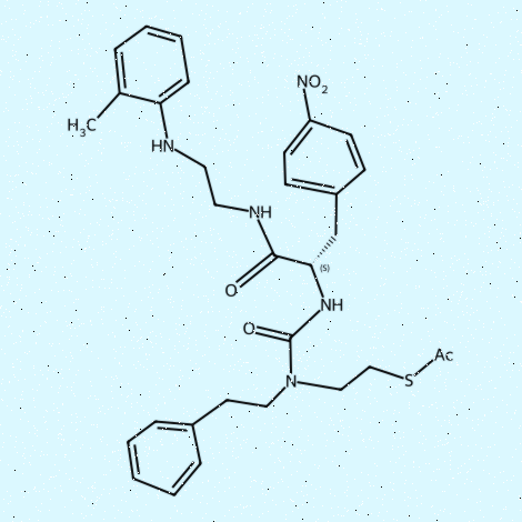 CC(=O)SCCN(CCc1ccccc1)C(=O)N[C@@H](Cc1ccc([N+](=O)[O-])cc1)C(=O)NCCNc1ccccc1C